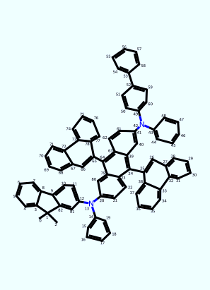 CC1(C)c2ccccc2-c2ccc(N(c3ccccc3)c3ccc4c(-c5cc6ccccc6c6ccccc56)c5cc(N(c6ccccc6)c6ccc(-c7ccccc7)cc6)ccc5c(-c5cc6ccccc6c6ccccc56)c4c3)cc21